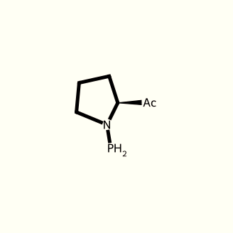 CC(=O)[C@@H]1CCCN1P